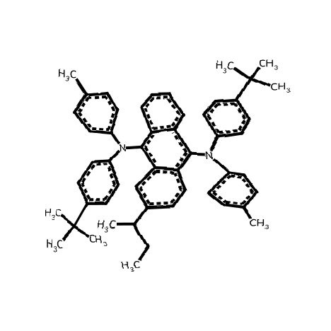 CCC(C)c1ccc2c(N(c3ccc(C)cc3)c3ccc(C(C)(C)C)cc3)c3ccccc3c(N(c3ccc(C)cc3)c3ccc(C(C)(C)C)cc3)c2c1